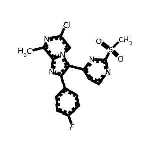 Cc1nc(Cl)cn2c(-c3ccnc(S(C)(=O)=O)n3)c(-c3ccc(F)cc3)nc12